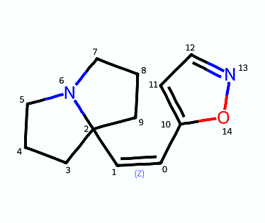 C(=C/C12CCCN1CCC2)/c1ccno1